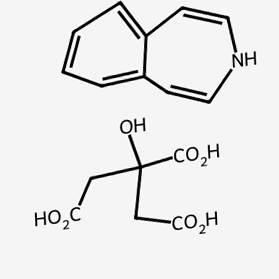 C1=Cc2ccccc2C=CN1.O=C(O)CC(O)(CC(=O)O)C(=O)O